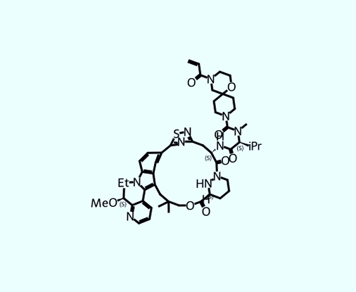 C=CC(=O)N1CCOC2(CCN(C(=O)N(C)[C@H](C(=O)N[C@H]3Cc4nsc(n4)-c4ccc5c(c4)c(c(-c4cccnc4[C@H](C)OC)n5CC)CC(C)(C)COC(=O)[C@@H]4CCCN(N4)C3=O)C(C)C)CC2)C1